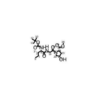 CC[C@H](C)[C@H](NC(=O)OC(C)(C)C)C(=O)NCC(=O)N1C[C@@H](O)C[C@H]1C(=O)OC